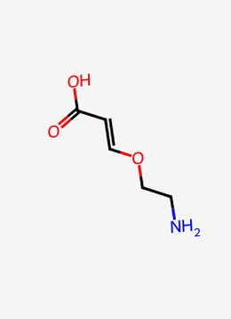 NCCOC=CC(=O)O